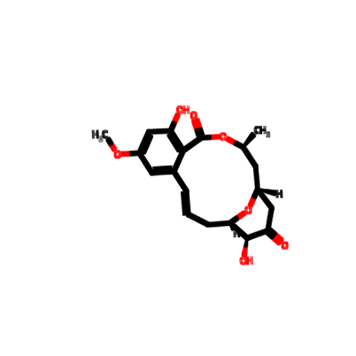 COc1cc(O)c2c(c1)/C=C/C[C@@H]1O[C@@H](CC(=O)[C@H]1O)C[C@H](C)OC2=O